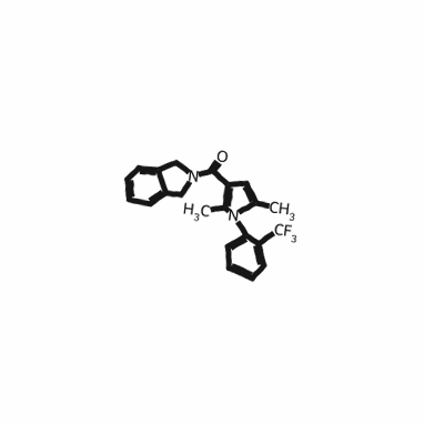 Cc1cc(C(=O)N2Cc3ccccc3C2)c(C)n1-c1ccccc1C(F)(F)F